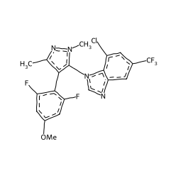 COc1cc(F)c(-c2c(C)nn(C)c2-n2cnc3cc(C(F)(F)F)cc(Cl)c32)c(F)c1